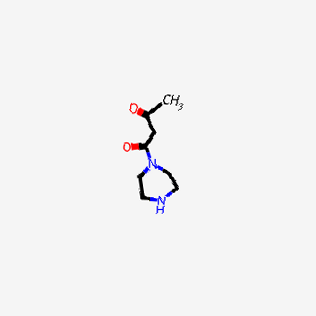 CC(=O)CC(=O)N1CCNCC1